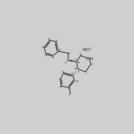 Cc1cccc([C@H]2CCNC[C@@H]2OCc2ccccc2)c1.Cl